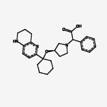 O=C(O)C(c1ccccc1)N1CC[C@@H](OC2(c3ccc4c(n3)CCCN4)CCCCC2)C1